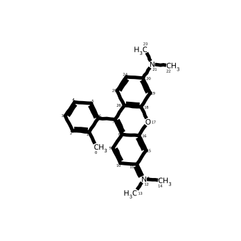 Cc1ccccc1-c1c2ccc(=[N+](C)C)cc-2oc2cc(N(C)C)ccc12